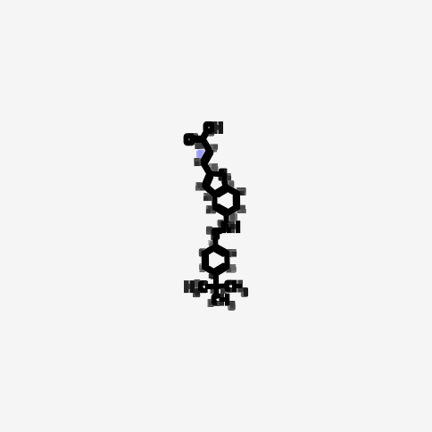 CC(C)(C)c1ccc(SNc2ccc3sc(/C=C/C(=O)O)cc3c2)cc1